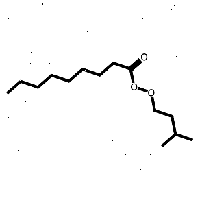 CCCCCCCCC(=O)OOCCC(C)C